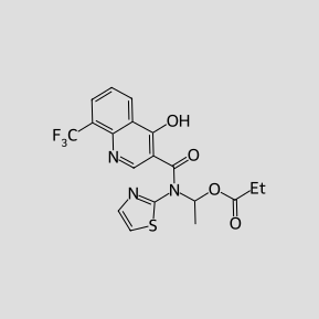 CCC(=O)OC(C)N(C(=O)c1cnc2c(C(F)(F)F)cccc2c1O)c1nccs1